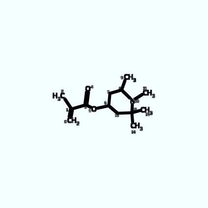 C=C(C)C(=O)OC1CC(C)N(C)C(C)(C)C1